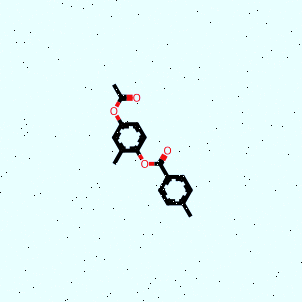 CC(=O)Oc1ccc(OC(=O)c2ccc(C)cc2)c(C)c1